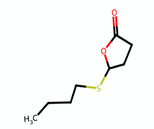 CCCCSC1CCC(=O)O1